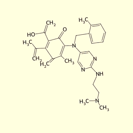 C=C(C)C1=C(C(=C)O)C(=O)C(N(Cc2ccccc2C)c2cnc(NCCN(C)C)nc2)=C(C)C1=C